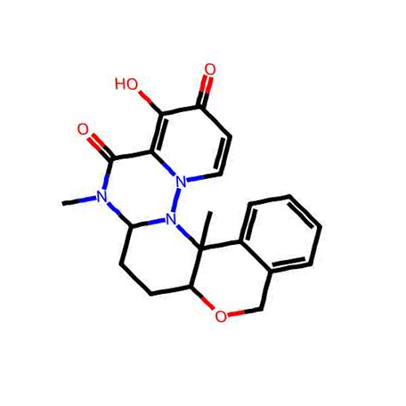 CN1C(=O)c2c(O)c(=O)ccn2N2C1CCC1OCc3ccccc3C12C